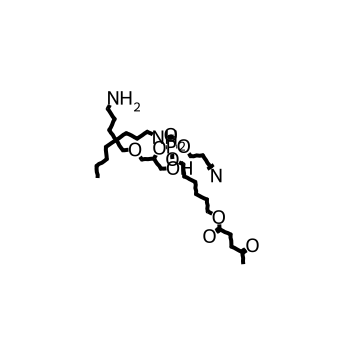 CCCCC(CCCN)(CCCN)COCC(CO)OP(=O)(OCCC#N)OCCCCCCOC(=O)CCC(C)=O